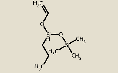 C=CO[SiH](CCC)O[Si](C)(C)C